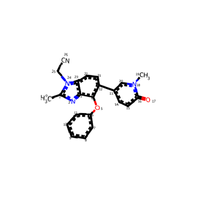 Cc1nc2c(Oc3ccccc3)c(-c3ccc(=O)n(C)c3)ccc2n1CC#N